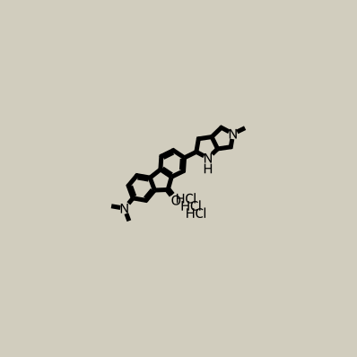 CN1CC2CC(c3ccc4c(c3)C(=O)c3cc(N(C)C)ccc3-4)NC2C1.Cl.Cl.Cl